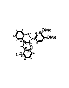 COc1ccc(N2Sc3ccccc3N(Cc3c(Cl)cccc3Cl)C2=O)cc1OC